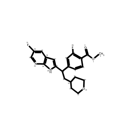 COC(=O)c1ccc(C(CC2CCOCC2)c2cc3cc(F)cnc3[nH]2)cc1F